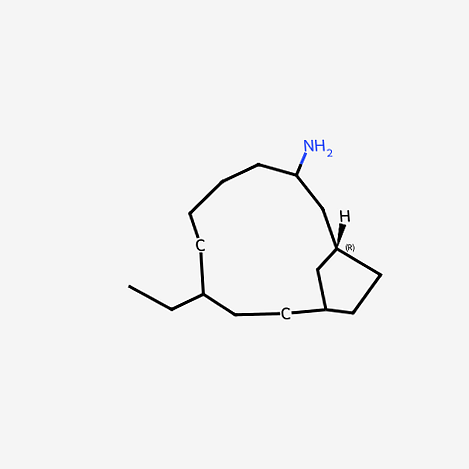 CCC1CCCCC(N)C[C@@H]2CCC(CC1)C2